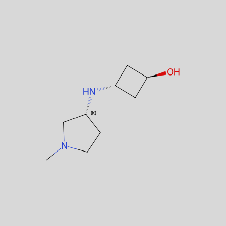 CN1CC[C@@H](N[C@H]2C[C@H](O)C2)C1